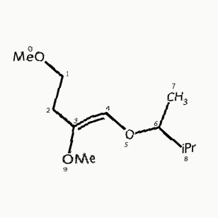 COCCC(=COC(C)C(C)C)OC